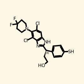 OCC[C@H](c1ccc(S)cc1)c1nc2c(Cl)c(N3CCC(F)(F)CC3)c(Cl)cc2[nH]1